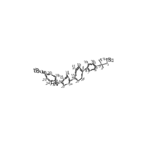 CC(C)(C)CC(C)(C)c1ccc(-c2ccc(-c3ccc(Nc4ccc(C(C)(C)C)cc4)cc3)cc2)cc1